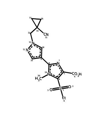 CCS(=O)(=O)c1c(C(=O)O)nc(-c2cnn(CC3(C#N)CC3)c2)n1C